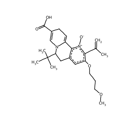 C=C(C)c1c(OCCCOC)cc2c([n+]1[O-])C1=CCC(C(=O)O)=CN1C(C(C)(C)C)C2